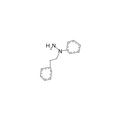 NN(CCc1ccccc1)c1ccccc1